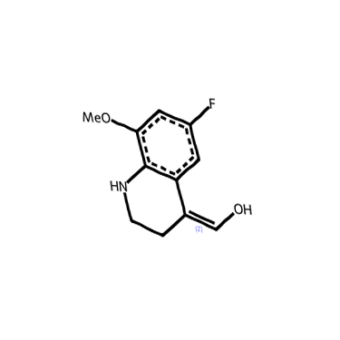 COc1cc(F)cc2c1NCC/C2=C/O